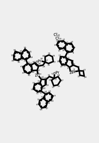 CCC1(CC2=Cc3c(-c4cccc5ccccc45)cccc3[CH]2[Zr+2])CCC1.CCCC1(CC2=Cc3c(-c4cccc5ccccc45)cccc3[CH]2[Zr+2][CH]2C(CC3(CCC)CCCCC3)=Cc3c(-c4cccc5ccccc45)cccc32)CCCCC1.[Cl-].[Cl-]